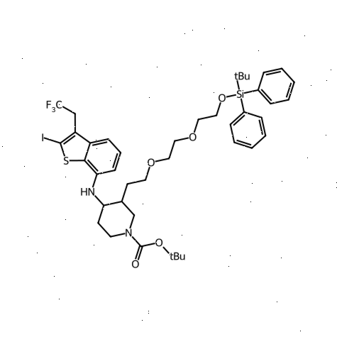 CC(C)(C)OC(=O)N1CCC(Nc2cccc3c(CC(F)(F)F)c(I)sc23)C(CCOCCOCCO[Si](c2ccccc2)(c2ccccc2)C(C)(C)C)C1